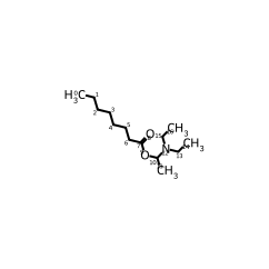 CCCCCCCC(=O)OC(C)N(CC)CC